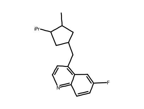 CC(C)C1CC(Cc2ccnc3ccc(F)cc23)CC1C